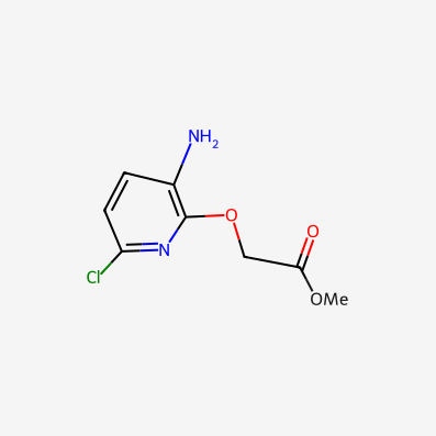 COC(=O)COc1nc(Cl)ccc1N